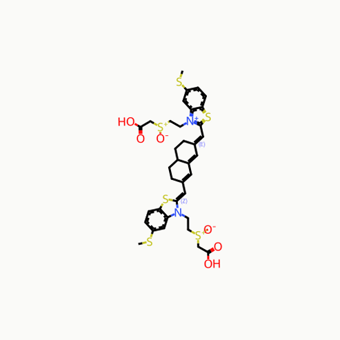 CSc1ccc2c(c1)N(CC[S+]([O-])CC(=O)O)/C(=C/C1=CC3=C/C(=C/c4sc5ccc(SC)cc5[n+]4CC[S+]([O-])CC(=O)O)CCC3CC1)S2